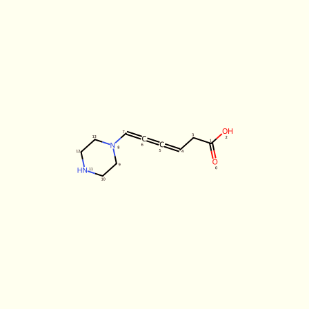 O=C(O)CC=C=C=CN1CCNCC1